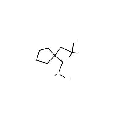 CN(C)CC1(CC(C)(C)C)CCCC1